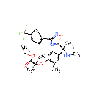 CCOC(=O)C(C)(C)Oc1ccc(C(C)(NC)c2nc(-c3ccc(C(F)(F)F)cc3)no2)cc1C